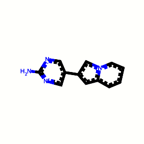 Nc1ncc(-c2cc3ccccn3c2)cn1